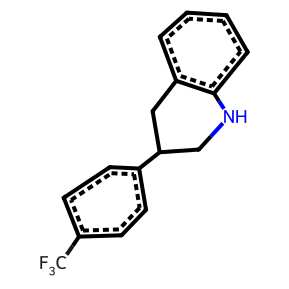 FC(F)(F)c1ccc(C2CNc3ccccc3C2)cc1